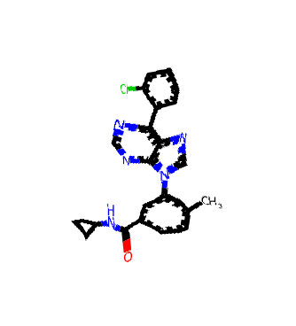 Cc1ccc(C(=O)NC2CC2)cc1-n1cnc2c(-c3ccccc3Cl)ncnc21